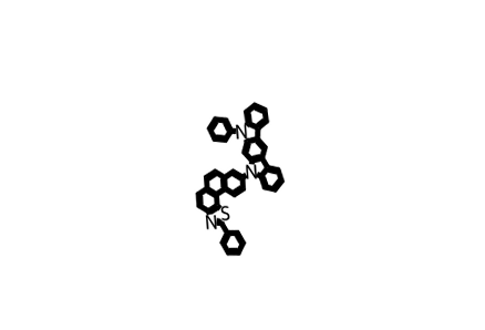 c1ccc(-c2nc3ccc4ccc5cc(-n6c7ccccc7c7cc8c9ccccc9n(-c9ccccc9)c8cc76)ccc5c4c3s2)cc1